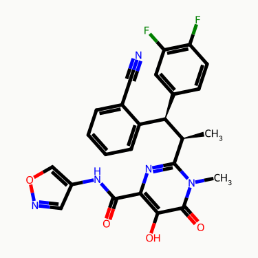 C[C@@H](c1nc(C(=O)Nc2cnoc2)c(O)c(=O)n1C)[C@H](c1ccc(F)c(F)c1)c1ccccc1C#N